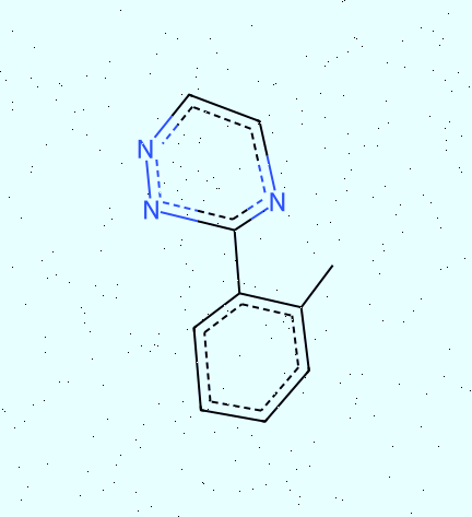 Cc1ccccc1-c1nccnn1